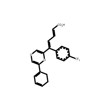 O=C(O)/C=C/C=C(/C1=COC=C(C2=CC=CCC2)O1)c1ccc(C(F)(F)F)cc1